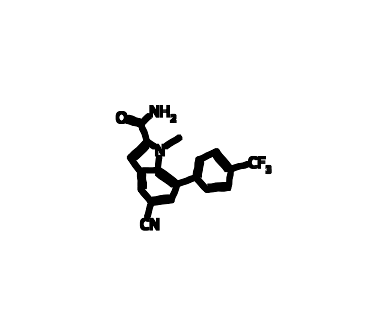 Cn1c(C(N)=O)cc2cc(C#N)cc(-c3ccc(C(F)(F)F)cc3)c21